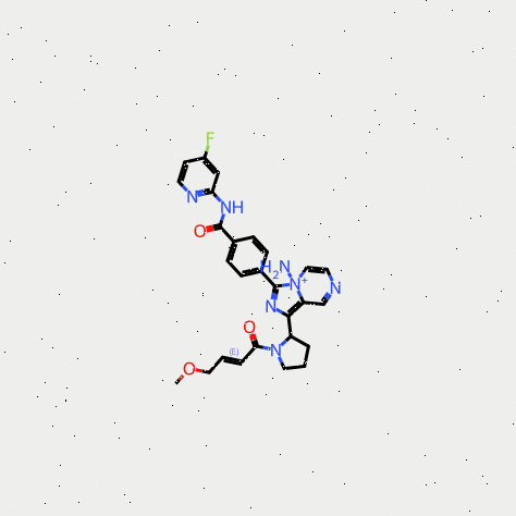 COC/C=C/C(=O)N1CCCC1C1=C2C=NC=C[N+]2(N)C(c2ccc(C(=O)Nc3cc(F)ccn3)cc2)=N1